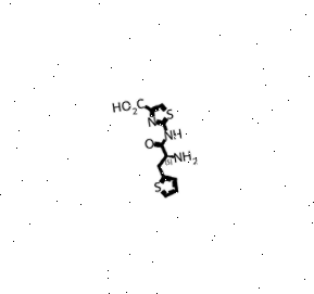 N[C@@H](Cc1cccs1)C(=O)Nc1nc(C(=O)O)cs1